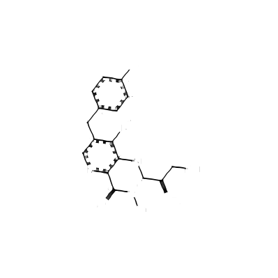 C=C(CO)CNc1c(C(=O)OC(C)C)ncc(Cc2ccc(F)cc2)c1Br